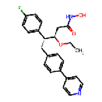 CCO[C@H](CC(=O)NO)[C@H](Cc1ccc(-c2ccncc2)cc1)c1ccc(F)cc1